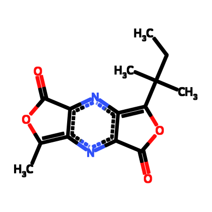 CCC(C)(C)C1=c2nc3c(nc2C(=O)O1)=C(C)OC3=O